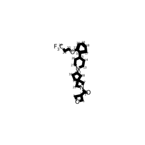 O=C(C1COC1)N1CC2(CC[C@@H](N3CCC(c4ccccc4OCCC(F)(F)F)CC3)C2)C1